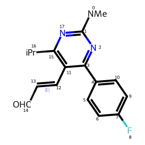 CNc1nc(-c2ccc(F)cc2)c(/C=C/C=O)c(C(C)C)n1